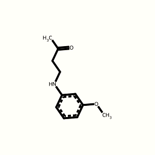 COc1cccc(NCCC(C)=O)c1